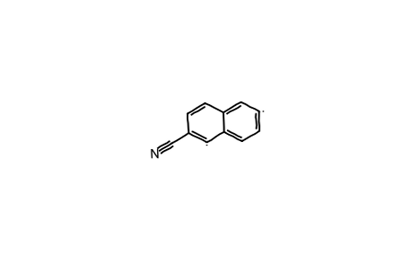 N#Cc1[c]c2cc[c]cc2cc1